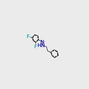 Fc1ccc([N]NCCc2ccccc2)c(F)c1